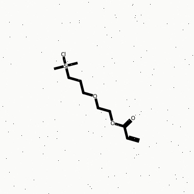 C=CC(=O)OCCOCCC[Si](C)(C)Cl